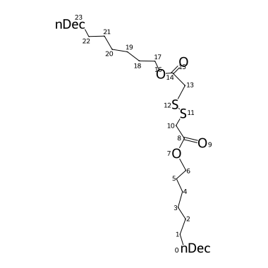 CCCCCCCCCCCCCCCCOC(=O)CSSCC(=O)OCCCCCCCCCCCCCCCC